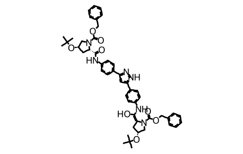 CC(C)(C)O[C@@H]1C/C(=C(\O)Nc2ccc(-c3cc(-c4ccc(NC(=O)[C@@H]5C[C@@H](OC(C)(C)C)CN5C(=O)OCc5ccccc5)cc4)n[nH]3)cc2)N(C(=O)OCc2ccccc2)C1